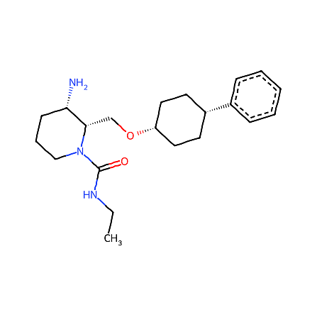 CCNC(=O)N1CCC[C@H](N)[C@@H]1CO[C@H]1CC[C@@H](c2ccccc2)CC1